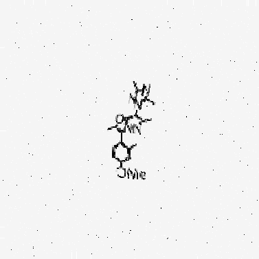 COc1ccc(-c2c(C)oc3c(-n4nc(C)nc4C)c(C)nn23)c(C)c1